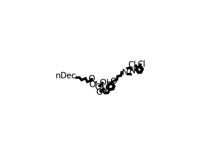 CCCCCCCCCCCCCCCC(=O)OCOC(O)N1C(=O)CCc2ccc(OCCCCN3CCN(c4cccc(Cl)c4Cl)CC3)cc21